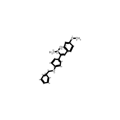 COc1ccc(C=C(c2ccc(OCc3ccccc3)cc2)N(C)C)cc1